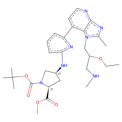 CCOC(CNC)Cn1c(C)nc2nccc(-c3cccc(N[C@H]4C[C@@H](C(=O)OC)N(C(=O)OC(C)(C)C)C4)n3)c21